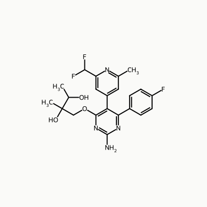 Cc1cc(-c2c(OCC(C)(O)C(C)O)nc(N)nc2-c2ccc(F)cc2)cc(C(F)F)n1